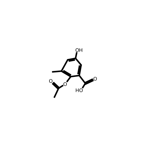 CC(=O)Oc1c(C)cc(O)cc1C(=O)O